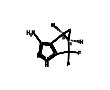 Nc1n[nH]c2c1[C@H]1C[C@H]1C2(F)F